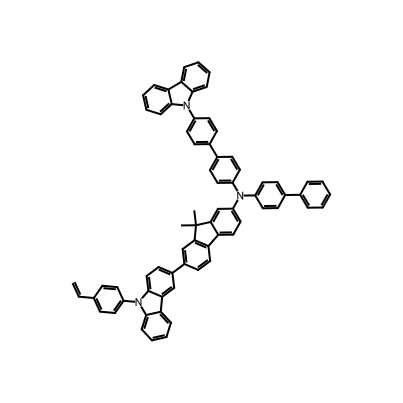 C=Cc1ccc(-n2c3ccccc3c3cc(-c4ccc5c(c4)C(C)(C)c4cc(N(c6ccc(-c7ccccc7)cc6)c6ccc(-c7ccc(-n8c9ccccc9c9ccccc98)cc7)cc6)ccc4-5)ccc32)cc1